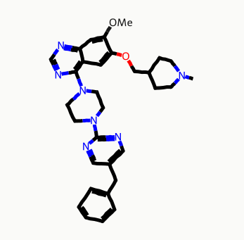 COc1cc2ncnc(N3CCN(c4ncc(Cc5ccccc5)cn4)CC3)c2cc1OCC1CCN(C)CC1